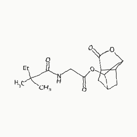 CCC(C)(C)C(=O)NCC(=O)OC1C2CC3C(=O)OC1C3C2